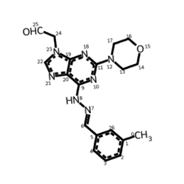 Cc1cccc(C=NNc2nc(N3CCOCC3)nc3c2ncn3CC=O)c1